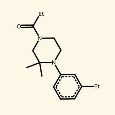 CCC(=O)N1CCN(c2cccc(CC)c2)C(C)(C)C1